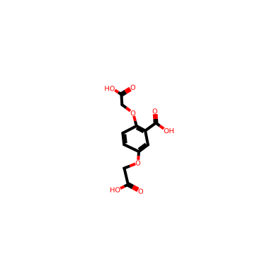 O=C(O)COc1ccc(OCC(=O)O)c(C(=O)O)c1